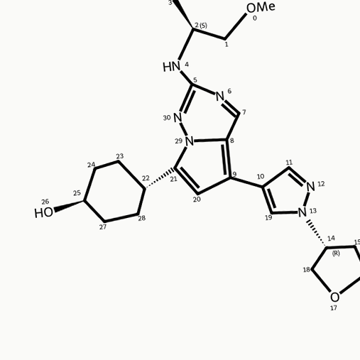 COC[C@H](C)Nc1ncc2c(-c3cnn([C@@H]4CCOC4)c3)cc([C@H]3CC[C@H](O)CC3)n2n1